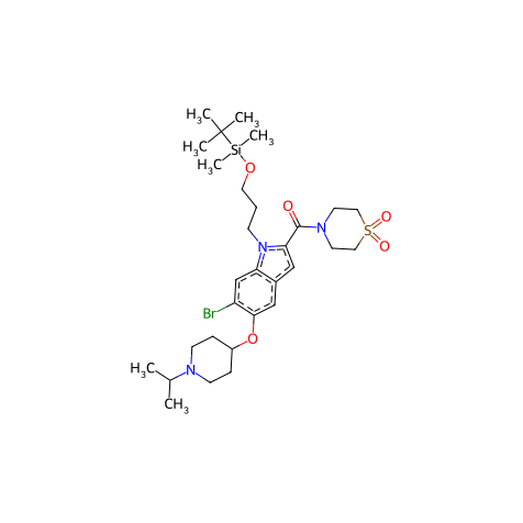 CC(C)N1CCC(Oc2cc3cc(C(=O)N4CCS(=O)(=O)CC4)n(CCCO[Si](C)(C)C(C)(C)C)c3cc2Br)CC1